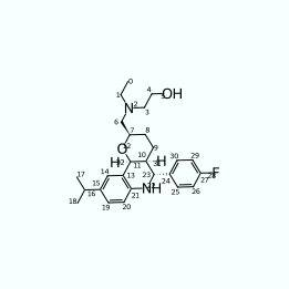 CCN(CCO)C[C@H]1CC[C@@H]2[C@H](O1)c1cc(C(C)C)ccc1N[C@H]2c1ccc(F)cc1